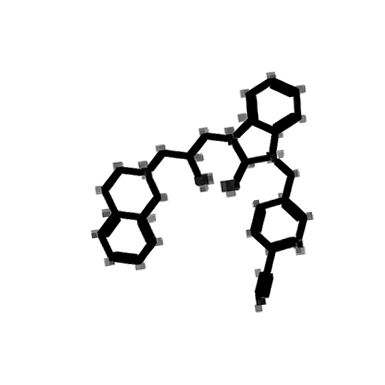 N#Cc1ccc(CN2c3ccccc3N(CC(O)CN3CCc4ccccc4C3)C2O)cn1